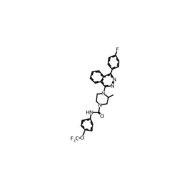 CC1CN(C(=O)Nc2ccc(OC(F)(F)F)cc2)CCN1c1nnc(-c2ccc(F)cc2)c2ccccc12